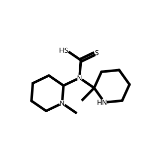 CN1CCCCC1N(C(=S)S)C1(C)CCCCN1